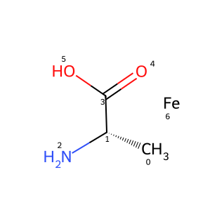 C[C@H](N)C(=O)O.[Fe]